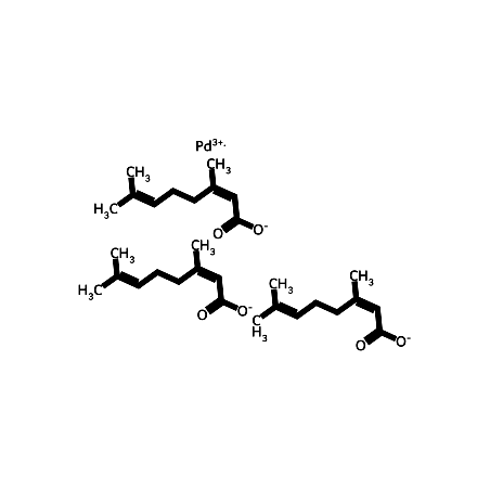 CC(C)=CCC/C(C)=C\C(=O)[O-].CC(C)=CCC/C(C)=C\C(=O)[O-].CC(C)=CCC/C(C)=C\C(=O)[O-].[Pd+3]